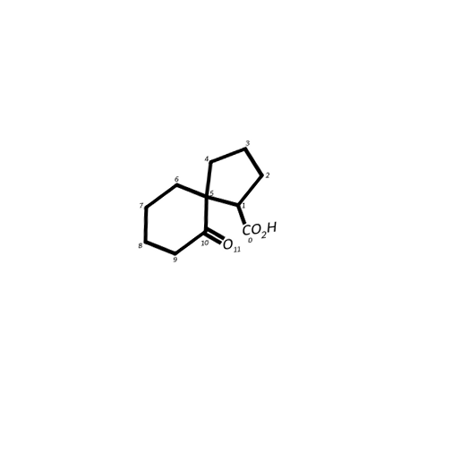 O=C(O)C1CCCC12CCCCC2=O